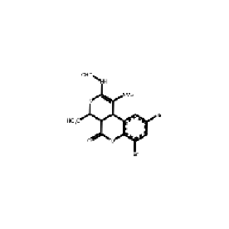 CSC1=C(NC=O)SC(C(=O)O)C2C(=O)Oc3c(Br)cc(Br)cc3C12